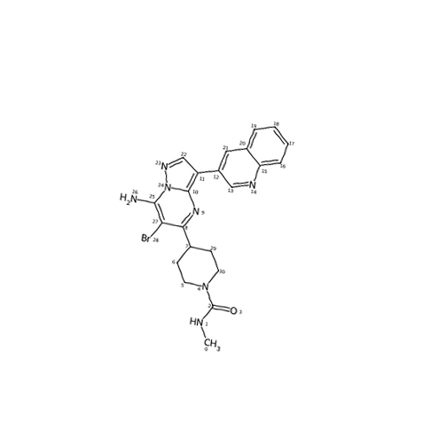 CNC(=O)N1CCC(c2nc3c(-c4cnc5ccccc5c4)cnn3c(N)c2Br)CC1